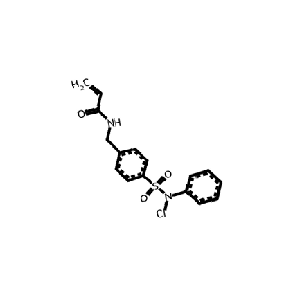 C=CC(=O)NCc1ccc(S(=O)(=O)N(Cl)c2ccccc2)cc1